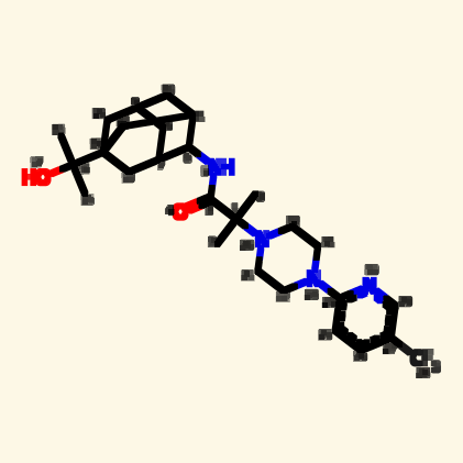 CC(C)(C(=O)NC1C2CC3CC1CC(C(C)(C)O)(C3)C2)N1CCN(c2ccc(C(F)(F)F)cn2)CC1